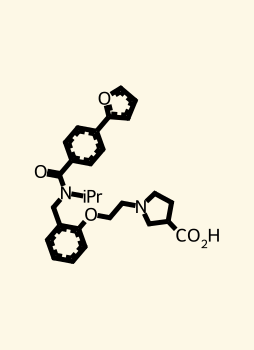 CC(C)N(Cc1ccccc1OCCN1CCC(C(=O)O)C1)C(=O)c1ccc(-c2ccco2)cc1